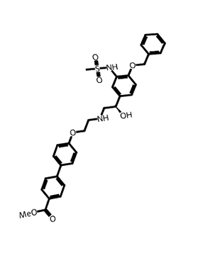 COC(=O)c1ccc(-c2ccc(OCCNC[C@H](O)c3ccc(OCc4ccccc4)c(NS(C)(=O)=O)c3)cc2)cc1